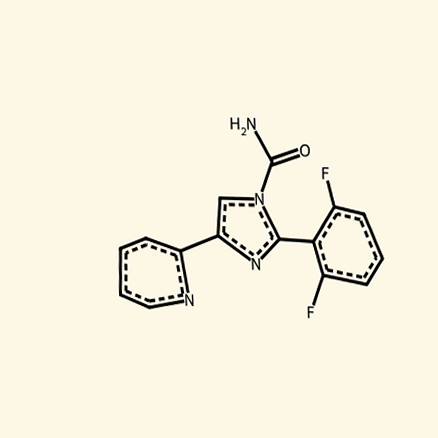 NC(=O)n1cc(-c2ccccn2)nc1-c1c(F)cccc1F